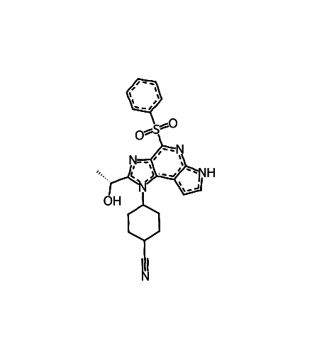 C[C@@H](O)c1nc2c(S(=O)(=O)c3ccccc3)nc3[nH]ccc3c2n1C1CCC(C#N)CC1